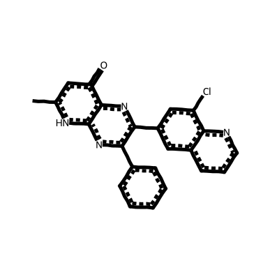 Cc1cc(=O)c2nc(-c3cc(Cl)c4ncccc4c3)c(-c3ccccc3)nc2[nH]1